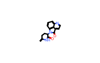 C=C1CCC(N2C(=O)c3ccnc4cccc2c34)C(=O)N1